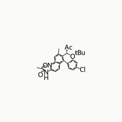 CC(=O)[C@@H](OC(C)(C)C)c1c(C)cc2nc(NS(C)(=O)=O)ccc2c1-c1ccc(Cl)cc1